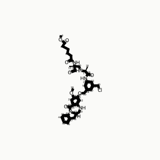 COC(=O)CCCCC(=O)N[C@@](C)(C=O)CN[C@@H](C)C(=O)Nc1cc(CCl)cc(COc2cc3c(cc2OC)C(=O)N2c4ccccc4C[C@H]2CN3)c1